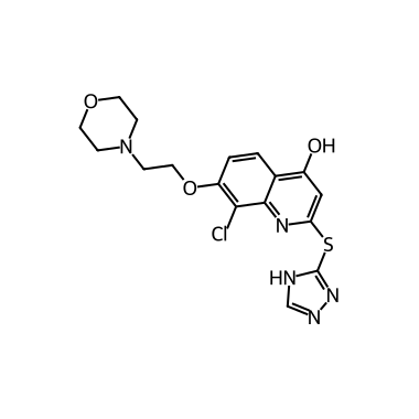 Oc1cc(Sc2nnc[nH]2)nc2c(Cl)c(OCCN3CCOCC3)ccc12